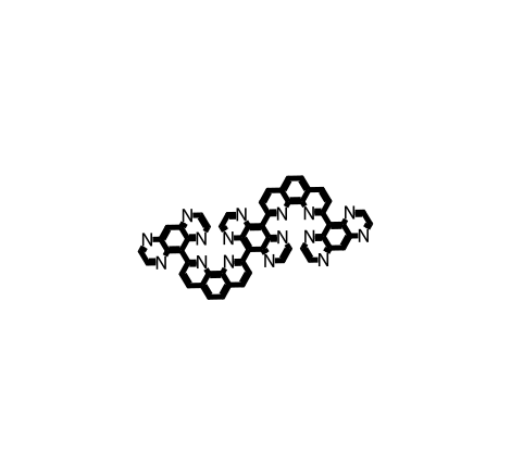 c1cnc2c(-c3ccc4ccc5ccc(-c6c7nccnc7c(-c7ccc8ccc9ccc(-c%10c%11nccnc%11cc%11nccnc%10%11)nc9c8n7)c7nccnc67)nc5c4n3)c3nccnc3cc2n1